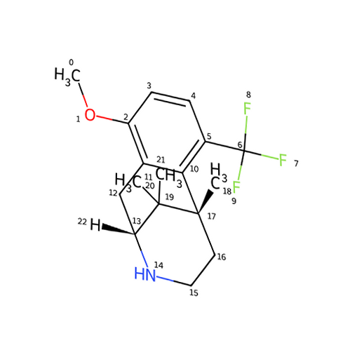 COc1ccc(C(F)(F)F)c2c1C[C@H]1NCC[C@]2(C)C1(C)C